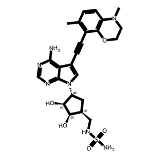 Cc1ccc2c(c1C#Cc1cn([C@@H]3C[C@@H](CNS(N)(=O)=O)[C@@H](O)[C@H]3O)c3ncnc(N)c13)OCCN2C